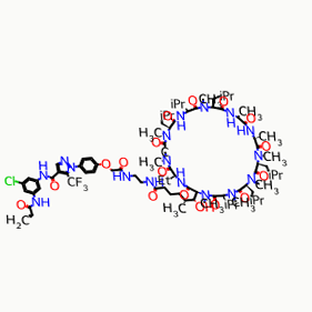 C=CC(=O)Nc1cc(Cl)cc(NC(=O)c2cnn(-c3ccc(OCC(=O)NCCNC(=O)CCC[C@@H](C)[C@@H](O)[C@H]4C(=O)N[C@@H](CC)C(=O)N(C)CC(=O)N(C)[C@@H](CC(C)C)C(=O)N[C@@H](C(C)C)C(=O)N(C)C(CC(C)C)C(=O)N[C@@H](C)C(=O)N[C@H](C)C(=O)N(C)[C@@H](CC(C)C)C(=O)N(C)[C@@H](CC(C)C)C(=O)N(C)[C@@H](C(C)C)C(=O)N4C)cc3)c2C(F)(F)F)c1